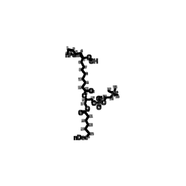 CCCCC/C=C\C/C=C(\CCCCCCCC(=O)OC(COC(=O)CCCCCCCCCCCCCCC)COP(=O)(O)OCC[N+](C)(C)C)OO